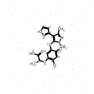 Cc1nn(C)c(Oc2cc(O[C@@H](C)C(=O)O)c(Cl)cc2Cl)c1-c1ccon1